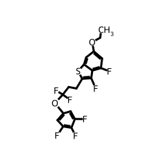 CCOc1cc(F)c2c(F)c(CCC(F)(F)Oc3cc(F)c(F)c(F)c3)sc2c1